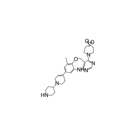 Cc1cc(C2=CCN(C3CCNCC3)CC2)cc2c1OCc1c(ncnc1N1CCS(=O)(=O)CC1)N2